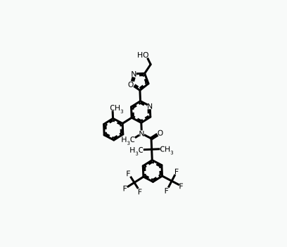 Cc1ccccc1-c1cc(-c2cc(CO)no2)ncc1N(C)C(=O)C(C)(C)c1cc(C(F)(F)F)cc(C(F)(F)F)c1